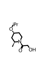 CC(C)O[C@H]1CCN(C(=O)CO)[C@@H](C)C1